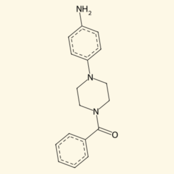 Nc1ccc(N2CCN(C(=O)c3ccccc3)CC2)cc1